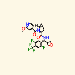 COc1cc(C(=O)N2[C@@H](C(=O)N[C@@H](c3cc(F)c(C(F)(F)F)cc3F)C3COC3)CC3C[C@H]32)ccn1